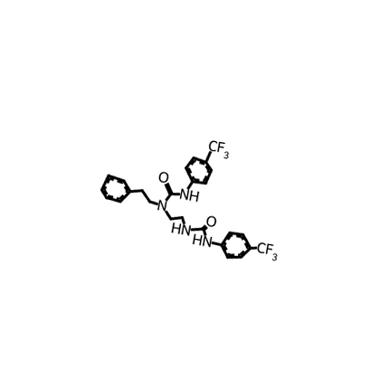 O=C(NCCN(CCc1ccccc1)C(=O)Nc1ccc(C(F)(F)F)cc1)Nc1ccc(C(F)(F)F)cc1